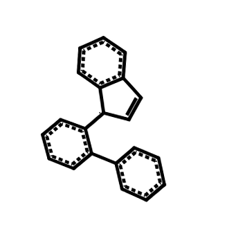 C1=Cc2ccccc2[C]1c1ccccc1-c1ccccc1